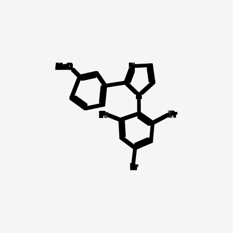 COc1cccc(-c2nccn2-c2c(C(C)C)cc(Br)cc2C(C)C)c1